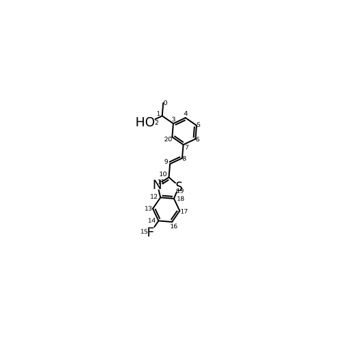 CC(O)c1cccc(/C=C/c2nc3cc(F)ccc3s2)c1